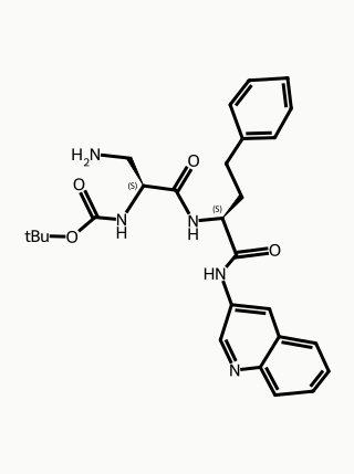 CC(C)(C)OC(=O)N[C@@H](CN)C(=O)N[C@@H](CCc1ccccc1)C(=O)Nc1cnc2ccccc2c1